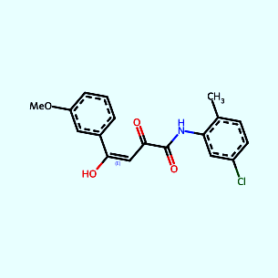 COc1cccc(/C(O)=C\C(=O)C(=O)Nc2cc(Cl)ccc2C)c1